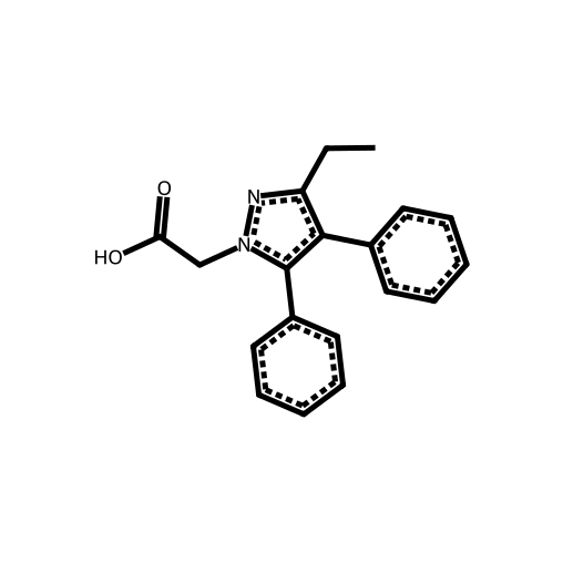 CCc1nn(CC(=O)O)c(-c2ccccc2)c1-c1ccccc1